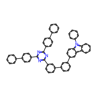 c1ccc(-c2ccc(-c3nc(-c4ccc(-c5ccccc5)cc4)nc(-c4cccc(-c5cccc(-c6ccc7c(c6)c6ccccc6n7-c6ccccc6)c5)c4)n3)cc2)cc1